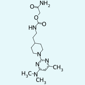 Cc1cc(N(C)C)nc(N2CCC(CCNC(=O)OCC(N)=O)CC2)n1